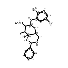 COC1C(C)[C@H]2OC(c3ccccc3)OCC2O[C@@H]1Sc1cc(Br)cnc1Br